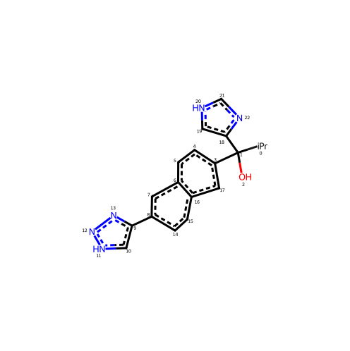 CC(C)C(O)(c1ccc2cc(-c3c[nH]nn3)ccc2c1)c1c[nH]cn1